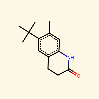 Cc1cc2c(cc1C(C)(C)C)CCC(=O)N2